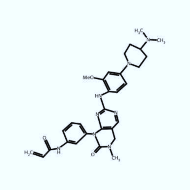 C=CC(=O)Nc1cccc(N2C(=O)N(C)Cc3cnc(Nc4ccc(N5CCC(N(C)C)CC5)cc4OC)nc32)c1